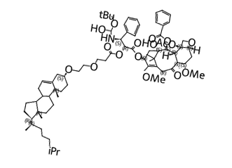 CO[C@H]1C(=O)[C@]2(C)[C@@H](OC)C[C@H]3OC[C@@]3(OC(C)=O)[C@H]2[C@H](OC(=O)c2ccccc2)[C@]2(O)C[C@H](OC(=O)[C@H](OC(=O)CCOCCO[C@H]3CC[C@@]4(C)C(=CCC5C4CC[C@@]4(C)C5CC[C@@H]4[C@H](C)CCCC(C)C)C3)[C@@H](NC(O)OC(C)(C)C)c3ccccc3)C(C)=C1C2(C)C